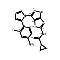 Nc1ccc(-c2cncn2-c2n[nH]c3nc(NC(=O)C4CC4)sc23)c(Cl)c1